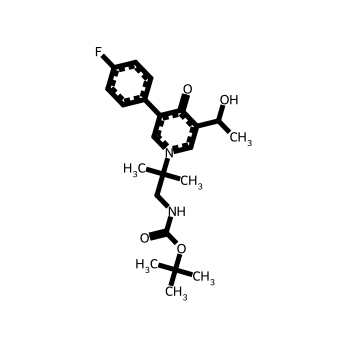 CC(O)c1cn(C(C)(C)CNC(=O)OC(C)(C)C)cc(-c2ccc(F)cc2)c1=O